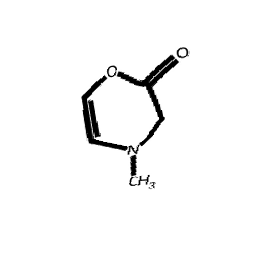 CN1C=COC(=O)C1